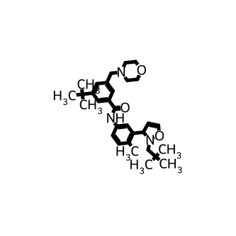 Cc1ccc(NC(=O)c2cc(CN3CCOCC3)cc(C(C)(C)C)c2)cc1C1C=CON1CC(C)(C)C